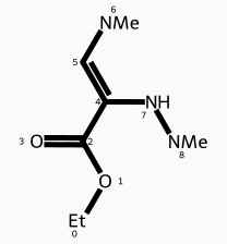 CCOC(=O)/C(=C/NC)NNC